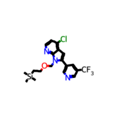 C[Si](C)(C)CCOCn1c(-c2cncc(C(F)(F)F)c2)cc2c(Cl)ccnc21